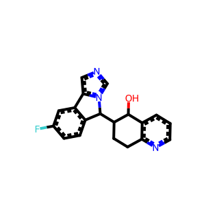 OC1c2cccnc2CCC1C1c2ccc(F)cc2-c2cncn21